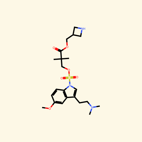 COc1ccc2c(c1)c(CCN(C)C)cn2S(=O)(=O)OCC(C)(C)C(=O)OCC1CNC1